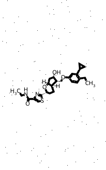 CCNC(=O)c1csc([C@H]2CC[C@@H]3[C@@H](COc4ccc(CC)c(C5CC5)c4)[C@@H](O)C[C@@H]3O2)n1